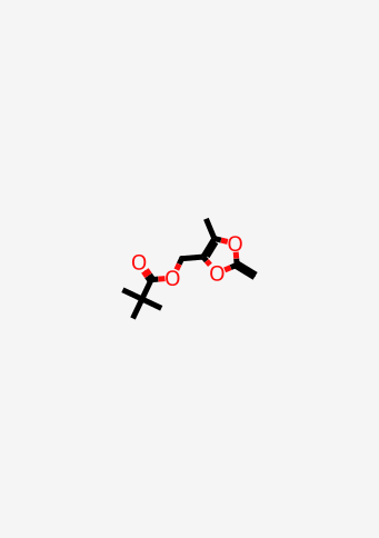 C=C1OC(C)=C(COC(=O)C(C)(C)C)O1